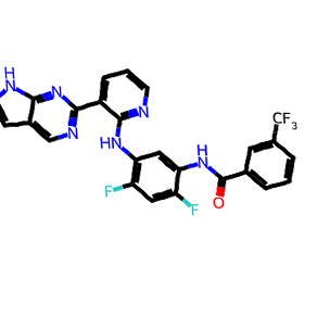 O=C(Nc1cc(Nc2ncccc2-c2ncc3cc[nH]c3n2)c(F)cc1F)c1cccc(C(F)(F)F)c1